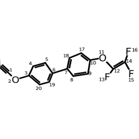 N#COc1ccc(-c2ccc(OC(F)=C(F)F)cc2)cc1